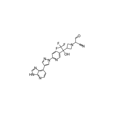 N#CC(C=O)N1CC(C(O)(c2ccc(-n3cc(-c4ccnc5[nH]cnc45)cn3)nc2)C(F)(F)F)C1